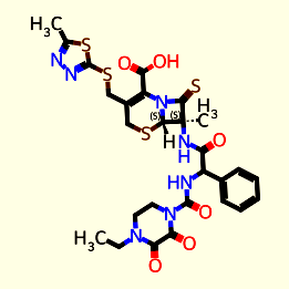 CCN1CCN(C(=O)NC(C(=O)N[C@]2(C)C(=S)N3C(C(=O)O)=C(CSc4nnc(C)s4)CS[C@H]32)c2ccccc2)C(=O)C1=O